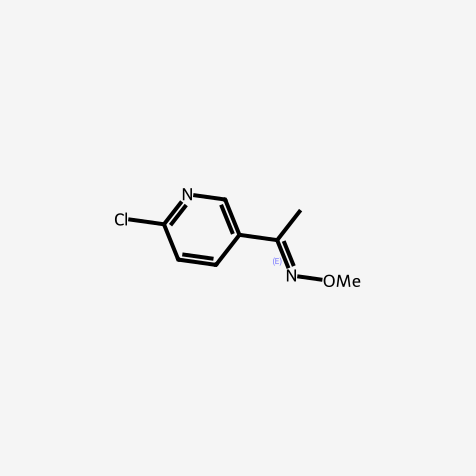 CO/N=C(\C)c1ccc(Cl)nc1